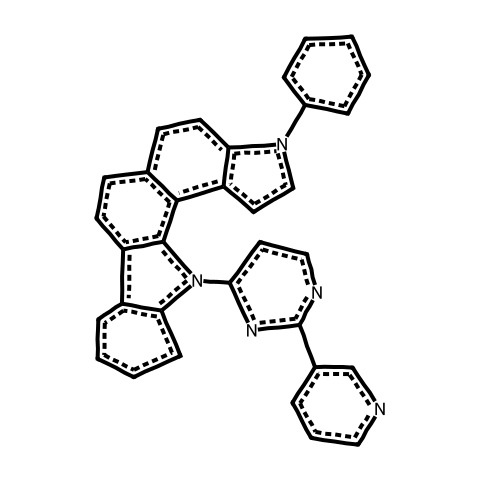 c1ccc(-n2ccc3c4c(ccc5c6ccccc6n(-c6ccnc(-c7cccnc7)n6)c54)ccc32)cc1